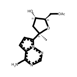 CC(=O)OC[C@H]1O[C@@](C)(c2ccc3c(N)ncnn23)C[C@@H]1O